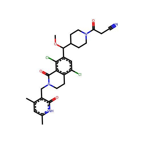 COC(c1cc(Cl)c2c(c1Cl)C(=O)N(Cc1c(C)cc(C)[nH]c1=O)CC2)C1CCN(C(=O)CC#N)CC1